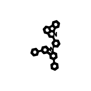 c1ccc(-c2ccc3c(c2)c2cc(-c4ccccc4)ccc2n3-c2cccc(-c3cc4cccc5c4c(n3)-c3ccccc3-5)c2)cc1